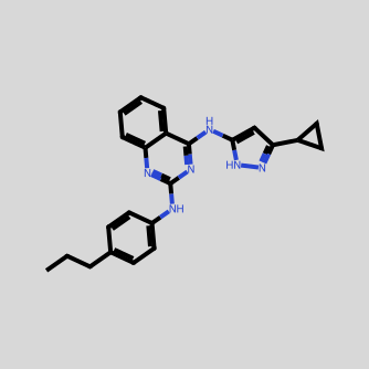 CCCc1ccc(Nc2nc(Nc3cc(C4CC4)n[nH]3)c3ccccc3n2)cc1